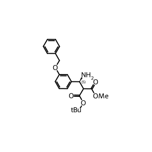 COC(=O)C(C(=O)OC(C)(C)C)[C@H](N)c1cccc(OCc2ccccc2)c1